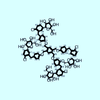 OC[C@H]1O[C@H](c2ccc(Cl)c(Cc3ccc(OCc4cc(COc5ccc(Cc6cc([C@@H]7O[C@H](CO)[C@@H](O)[C@H](O)[C@H]7O)ccc6Cl)cc5)c(COc5ccc(Cc6cc([C@@H]7O[C@H](CO)[C@@H](O)[C@H](O)[C@H]7O)ccc6Cl)cc5)cc4COc4ccc(Cc5cc([C@@H]6O[C@H](CO)[C@@H](O)[C@H](O)[C@H]6O)ccc5Cl)cc4)cc3)c2)[C@H](O)[C@@H](O)[C@@H]1O